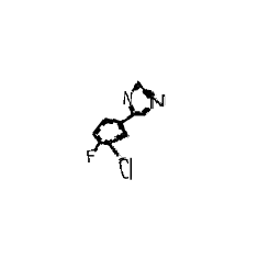 Fc1ccc(-c2cnccn2)cc1Cl